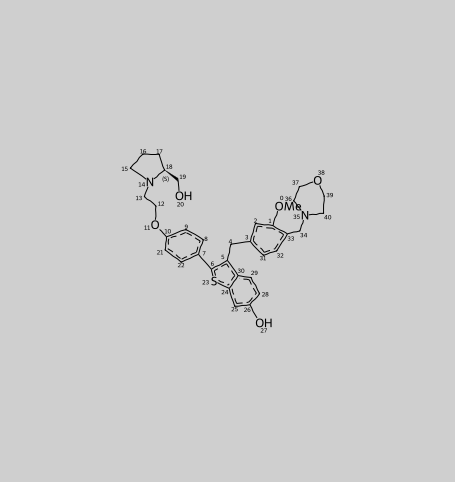 COc1cc(Cc2c(-c3ccc(OCCN4CCC[C@H]4CO)cc3)sc3cc(O)ccc23)ccc1CN1CCOCC1